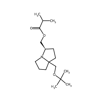 CC(C)C(=O)OC[C@H]1CCC2(COC(C)(C)C)CCCN12